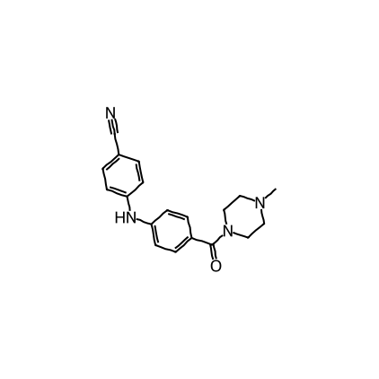 CN1CCN(C(=O)c2ccc(Nc3ccc(C#N)cc3)cc2)CC1